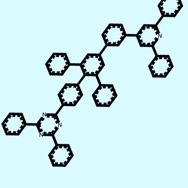 c1ccc(-c2cc(-c3cccc(-c4cc(-c5ccccc5)c(-c5ccc(-c6nc(-c7ccccc7)nc(-c7ccccc7)n6)cc5)c(-c5ccccc5)c4)c3)cc(-c3ccccc3)n2)cc1